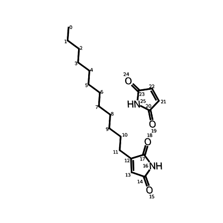 CCCCCCCCCCCCC1=CC(=O)NC1=O.O=C1C=CC(=O)N1